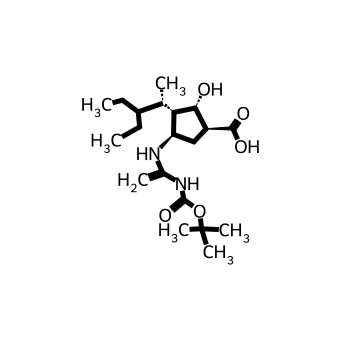 C=C(NC(=O)OC(C)(C)C)N[C@@H]1C[C@H](C(=O)O)[C@@H](O)[C@H]1[C@@H](C)C(CC)CC